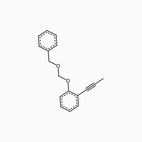 CC#Cc1ccccc1OCOCc1ccccc1